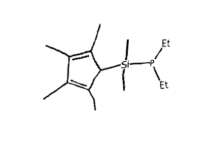 CCP(CC)[Si](C)(C)C1C(C)=C(C)C(C)=C1C